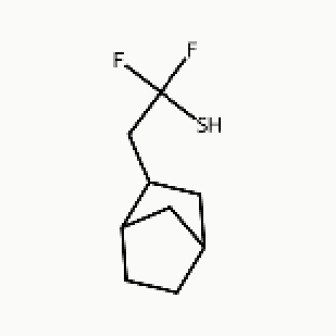 FC(F)(S)CC1CC2CCC1C2